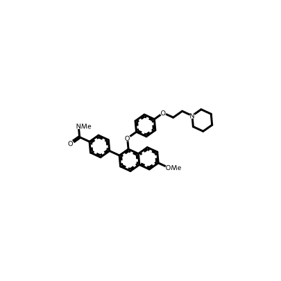 CNC(=O)c1ccc(-c2ccc3cc(OC)ccc3c2Oc2ccc(OCCN3CCCCC3)cc2)cc1